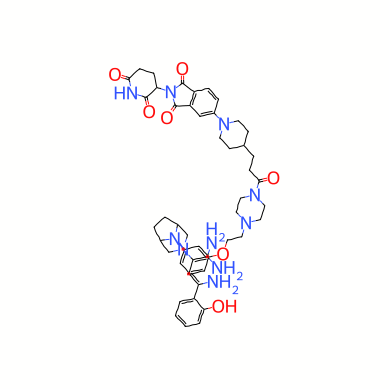 NC(N)=C(/C=C(\N)c1ccccc1O)N1CC2CCC(C1)N2c1cccc(OCCN2CCN(C(=O)CCC3CCN(c4ccc5c(c4)C(=O)N(C4CCC(=O)NC4=O)C5=O)CC3)CC2)c1